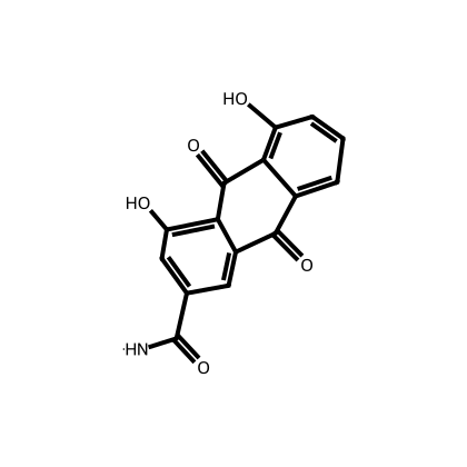 [NH]C(=O)c1cc(O)c2c(c1)C(=O)c1cccc(O)c1C2=O